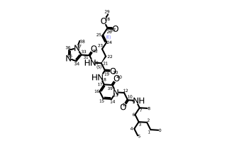 CCCC(CC)CC(C)NC(=O)Cn1cccc(NC(=O)[C@H](CC/C=C/C(=O)OC)NC(=O)c2cncn2C)c1=O